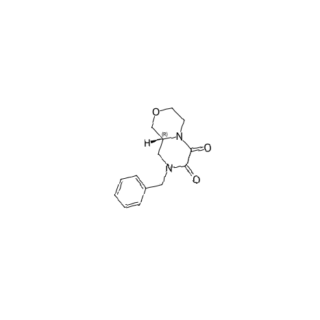 O=C1C(=O)N2CCOC[C@H]2CN1Cc1ccccc1